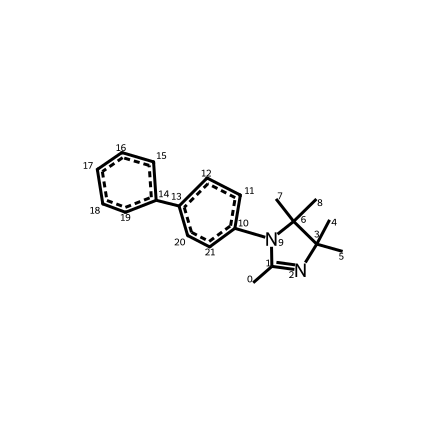 CC1=NC(C)(C)C(C)(C)N1c1ccc(-c2ccccc2)cc1